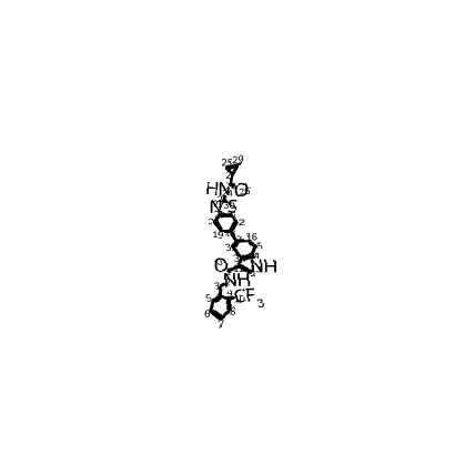 O=C(NCc1ccccc1C(F)(F)F)c1c[nH]c2ccc(-c3ccc4nc(NC(=O)C5CC5)sc4c3)cc12